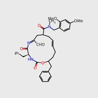 COc1ccc(CN(C)C(=O)C2C/C=C/CCC(Cc3ccccc3)OC(=O)N[C@@H](CC(C)C)C(=O)/N=C(\C=O)C2)c(OC)c1